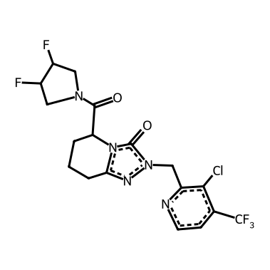 O=C(C1CCCc2nn(Cc3nccc(C(F)(F)F)c3Cl)c(=O)n21)N1CC(F)C(F)C1